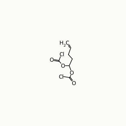 C=CCCC(OC(=O)Cl)OC(=O)Cl